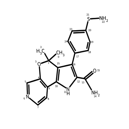 CC1(C)Oc2cnccc2-c2[nH]c(C(N)=O)c(-c3ccc(SN)cc3)c21